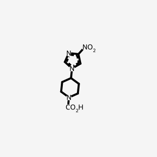 O=C(O)N1CCC(n2cnc([N+](=O)[O-])c2)CC1